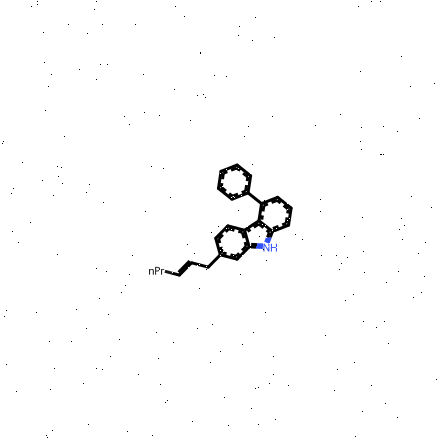 CCCC=CCc1ccc2c(c1)[nH]c1cccc(-c3ccccc3)c12